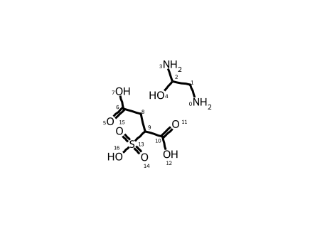 NCC(N)O.O=C(O)CC(C(=O)O)S(=O)(=O)O